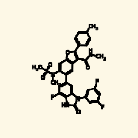 CNC(=O)c1c(-c2ccc(C)cc2)oc2cc(N(C)S(C)(=O)=O)c(-c3cc(F)c4[nH]c(=O)n(-c5cc(F)cc(F)c5)c4c3)cc12